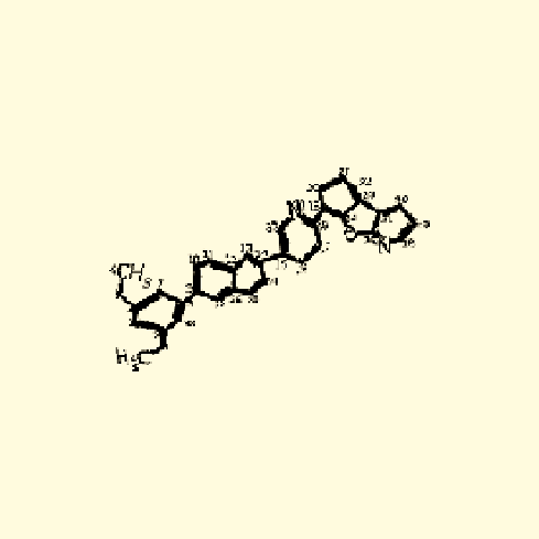 CCc1cc(CC)cc(-c2ccc3cc(-c4ccc(-c5cccc6c5oc5ncccc56)nc4)ccc3c2)c1